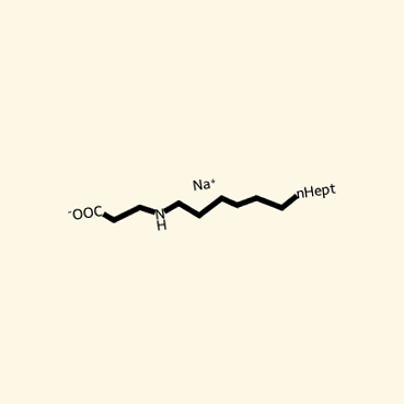 CCCCCCCCCCCCCNCCC(=O)[O-].[Na+]